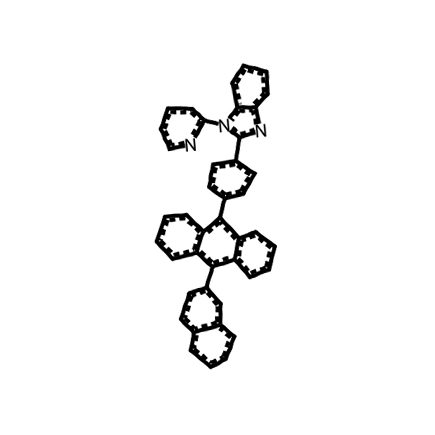 c1ccc(-n2c(-c3ccc(-c4c5ccccc5c(-c5ccc6ccccc6c5)c5ccccc45)cc3)nc3ccccc32)nc1